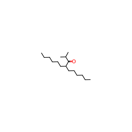 CCCCCCC(CCCCCC)C(=O)C(C)C